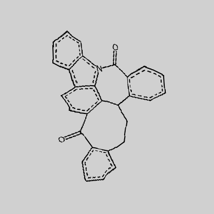 O=C1c2ccccc2CCC2c3ccccc3C(=O)n3c4ccccc4c4ccc1c2c43